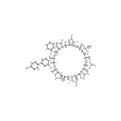 CC[C@H](C)[C@@H]1NC(=O)[C@@H]2CCCN2C(=O)[C@H](Cc2cccc(-c3ccc(F)cc3)c2)N(C)C(=O)[C@H](Cc2ccccc2)NC(=O)C(C(C)C)N(C)C(=O)[C@@H]([C@@H](C)CC)OC(=O)[C@H](C(C)(C)O)N(C)C(=O)[C@H](CC(C)C)NC(=O)C(C(C)C)N(C)C1=O